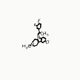 C/C(=C\n1c2c(c3cc(Cl)ccc31)CCN(C)CC2)c1ccc(F)c(F)c1